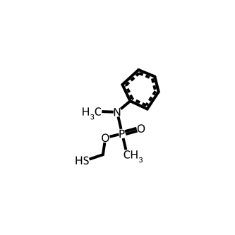 CN(c1ccccc1)P(C)(=O)OCS